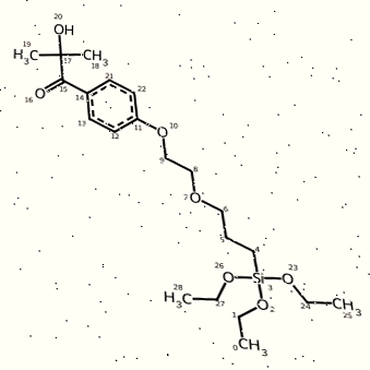 CCO[Si](CCCOCCOc1ccc(C(=O)C(C)(C)O)cc1)(OCC)OCC